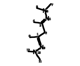 C/C(C/C(C)=N/N(C)C)=N\N(C)C